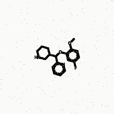 COc1ccc(F)cc1OC(c1ccccn1)C1CCCNC1